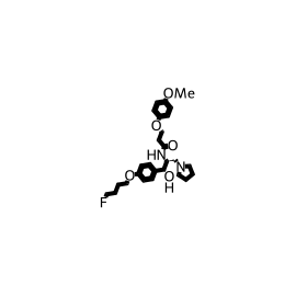 COc1ccc(OCCC(=O)N[C@H](CN2CCCC2)[C@H](O)c2ccc(OCCCCF)cc2)cc1